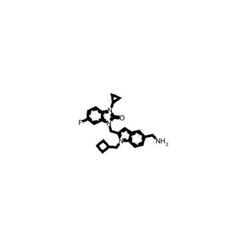 NCc1ccc2c(c1)cc(Cn1c(=O)n(C3CC3)c3ccc(F)cc31)n2CC1CCC1